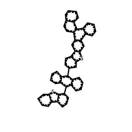 c1ccc2c(c1)ccc1c3cc4c(cc3c3ccccc3c21)sc1cc(-c2c3ccccc3c(-c3cccc5c3sc3ccccc35)c3ccccc23)ccc14